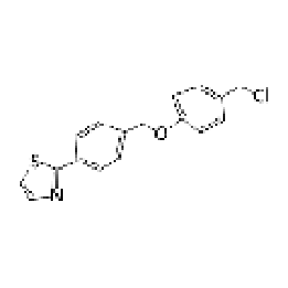 ClCc1ccc(OCc2ccc(-c3nccs3)cc2)cc1